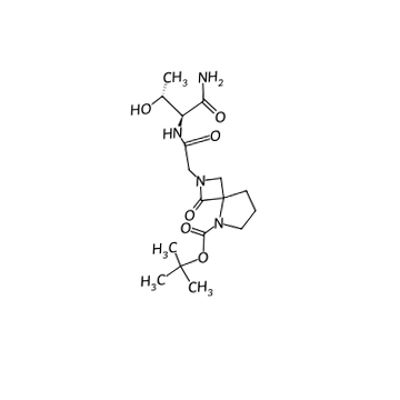 C[C@@H](O)[C@H](NC(=O)CN1CC2(CCCN2C(=O)OC(C)(C)C)C1=O)C(N)=O